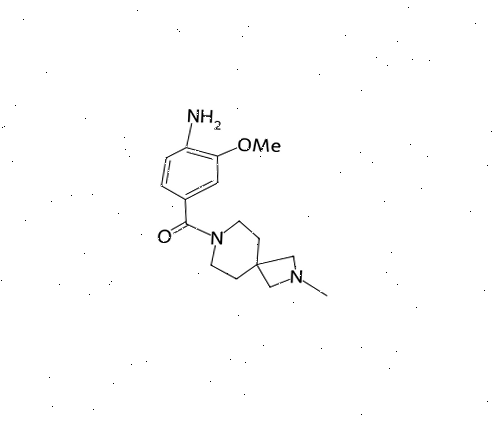 COc1cc(C(=O)N2CCC3(CC2)CN(C)C3)ccc1N